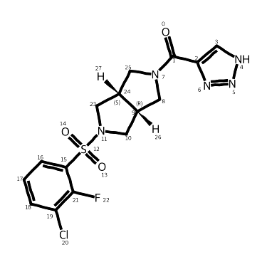 O=C(c1c[nH]nn1)N1C[C@@H]2CN(S(=O)(=O)c3cccc(Cl)c3F)C[C@@H]2C1